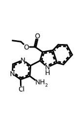 CCOC(=O)c1c(-c2ncnc(Cl)c2N)[nH]c2ccccc12